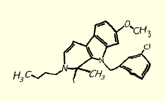 CCCCN1C=Cc2c(n(Cc3cccc(Cl)c3)c3cc(OC)ccc23)C1(C)I